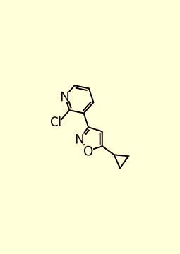 Clc1ncccc1-c1cc(C2CC2)on1